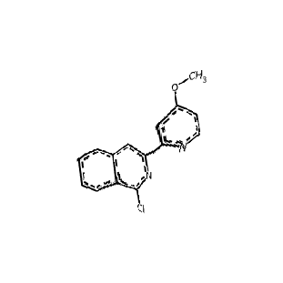 COc1ccnc(-c2cc3ccccc3c(Cl)n2)c1